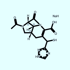 CC(=O)N1C[C@H]2CC(C(S)c3nc[nH]n3)=C(C(=O)O)N3C(=O)[C@@H]1[C@@H]23.[NaH]